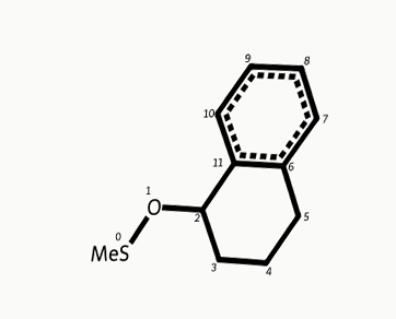 CSOC1CCCc2ccccc21